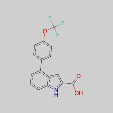 O=C(O)c1cc2c(-c3ccc(OC(F)(F)F)cc3)cccc2[nH]1